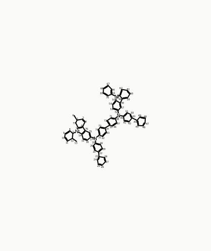 CC1C=Cc2c(n(C3C=CC=CC3C)c3ccc(N(c4ccc(-c5ccccc5)cc4)c4ccc(-c5ccc(N(c6ccc(-c7ccccc7)cc6)c6ccc7c(c6)c6ccccc6n7-c6ccccc6)cc5)cc4)cc23)C1